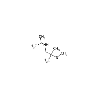 CSC(C)(C)CNC(C)C